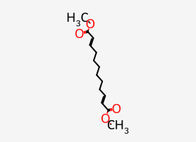 COC(=O)/C=C/CCCCCC/C=C/C(=O)OC